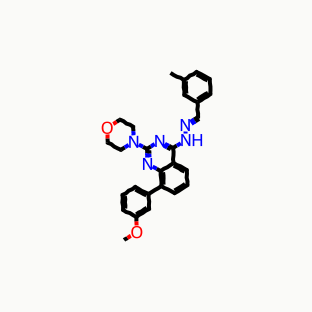 COc1cccc(-c2cccc3c(NN=Cc4cccc(C)c4)nc(N4CCOCC4)nc23)c1